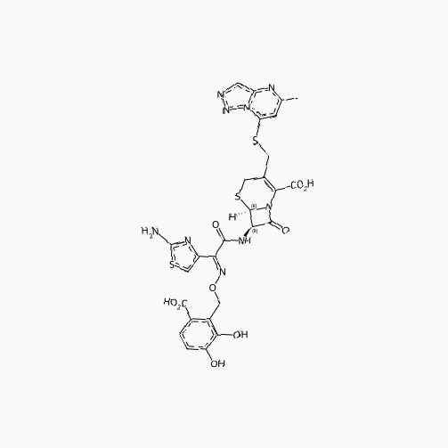 Cc1cc(SCC2=C(C(=O)O)N3C(=O)[C@@H](NC(=O)C(=NOCc4c(C(=O)O)ccc(O)c4O)c4csc(N)n4)[C@H]3SC2)n2nncc2n1